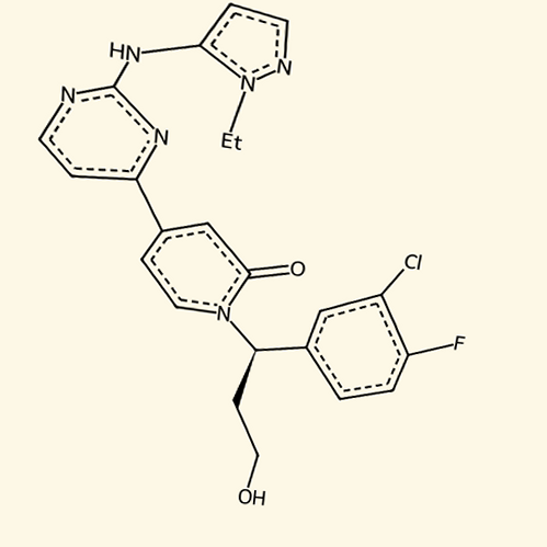 CCn1nccc1Nc1nccc(-c2ccn([C@H](CCO)c3ccc(F)c(Cl)c3)c(=O)c2)n1